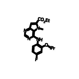 CCOC(=O)c1cc2ncnc(Nc3ccc(F)cc3OC(C)C)c2n1C